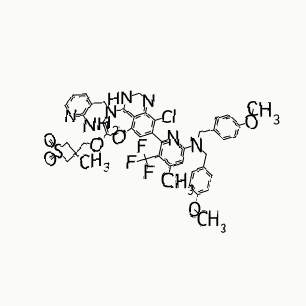 COc1ccc(CN(Cc2ccc(OC)cc2)c2cc(C)c(C(F)(F)F)c(-c3cc4c5c(c3Cl)=NCNC=5N(Cc3cccnc3N)C=C(OCC3(C)CS(=O)(=O)C3)O4)n2)cc1